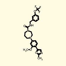 COc1cc(N2CCCN(C(=O)NCc3cccc(OC(F)(F)F)c3)CC2)ccc1-c1cnc(C)o1